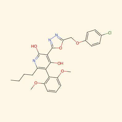 CCCCc1nc(O)c(-c2nnc(COc3ccc(Cl)cc3)o2)c(O)c1-c1c(OC)cccc1OC